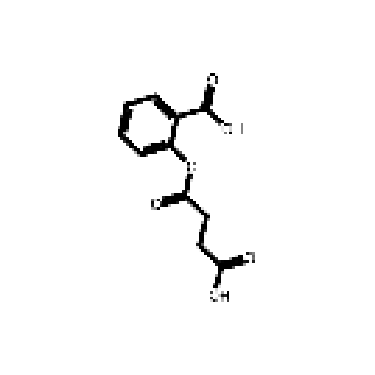 O=C(O)CCC(=O)Oc1ccccc1C(=O)O